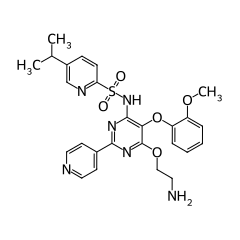 COc1ccccc1Oc1c(NS(=O)(=O)c2ccc(C(C)C)cn2)nc(-c2ccncc2)nc1OCCN